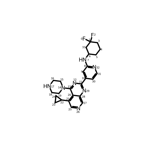 FC1(F)CCCC(Nc2cc(-c3nc(N4CCNCC4)c4c(C5CC5)cncc4n3)ccn2)C1